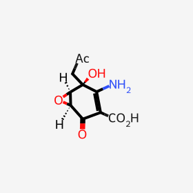 CC(=O)C[C@]1(O)C(N)=C(C(=O)O)C(=O)[C@H]2O[C@H]21